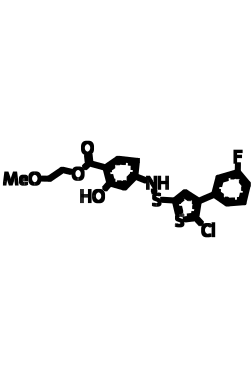 COCCOC(=O)c1ccc(NSc2cc(-c3cccc(F)c3)c(Cl)s2)cc1O